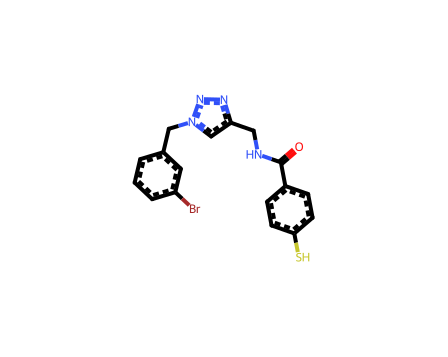 O=C(NCc1cn(Cc2cccc(Br)c2)nn1)c1ccc(S)cc1